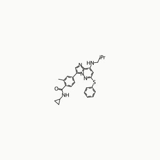 Cc1cc(-c2cnc3c(NCC(C)C)cc(Sc4ccccc4)nn23)ccc1C(=O)NC1CC1